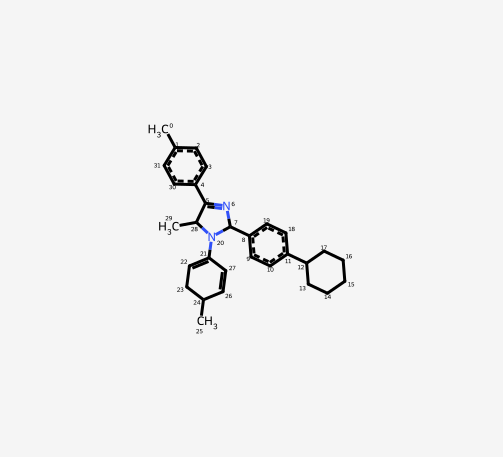 Cc1ccc(C2=NC(c3ccc(C4CCCCC4)cc3)N(C3=CCC(C)C=C3)C2C)cc1